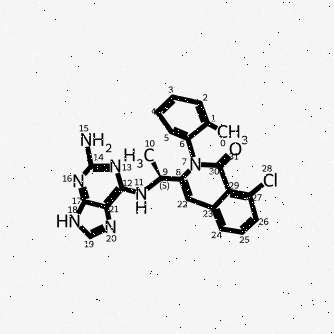 Cc1ccccc1-n1c([C@H](C)Nc2nc(N)nc3[nH]cnc23)cc2cccc(Cl)c2c1=O